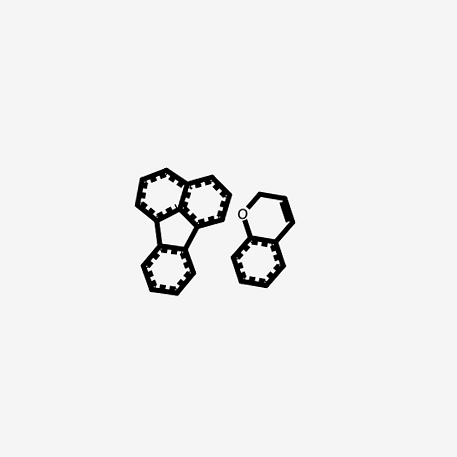 C1=Cc2ccccc2OC1.c1ccc2c(c1)-c1cccc3cccc-2c13